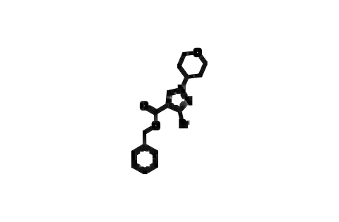 O=C(OCc1ccccc1)c1cn(C2CCOCC2)nc1Br